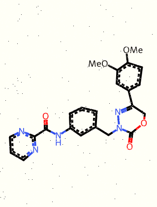 COc1ccc(C2=NN(Cc3cccc(NC(=O)c4ncccn4)c3)C(=O)OC2)cc1OC